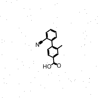 Cc1cc(C(=O)O)ccc1-c1ccccc1C#N